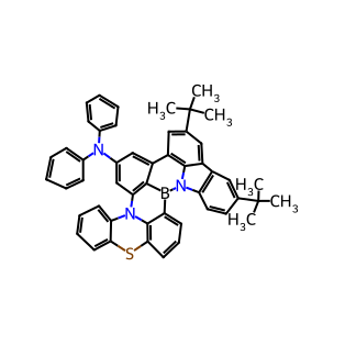 CC(C)(C)c1ccc2c(c1)c1cc(C(C)(C)C)cc3c1n2B1c2cccc4c2N(c2ccccc2S4)c2cc(N(c4ccccc4)c4ccccc4)cc-3c21